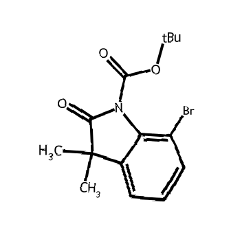 CC(C)(C)OC(=O)N1C(=O)C(C)(C)c2cccc(Br)c21